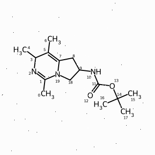 CC1=NC(C)C(C)=C2CC(NC(=O)OC(C)(C)C)CN12